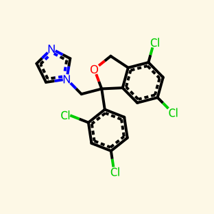 Clc1ccc(C2(Cn3ccnc3)OCc3c(Cl)cc(Cl)cc32)c(Cl)c1